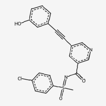 CS(=O)(=NC(=O)c1cncc(C#Cc2cccc(O)c2)c1)c1ccc(Cl)cc1